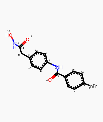 CCCc1ccc(C(=O)Nc2ccc(CC(=O)NO)cc2)cc1